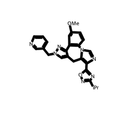 COc1ccc2c(c1)-c1nn(Cc3cccnc3)cc1Cc1c(-c3nc(C(C)C)no3)ncn1-2